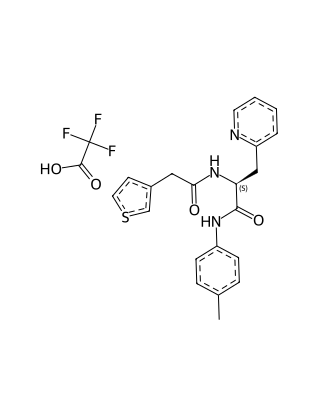 Cc1ccc(NC(=O)[C@H](Cc2ccccn2)NC(=O)Cc2ccsc2)cc1.O=C(O)C(F)(F)F